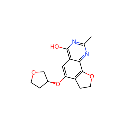 Cc1nc(O)c2cc(O[C@H]3CCOC3)c3c(c2n1)OCC3